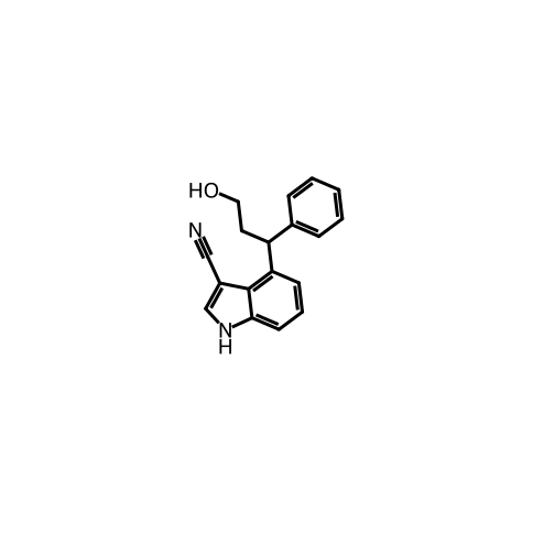 N#Cc1c[nH]c2cccc(C(CCO)c3ccccc3)c12